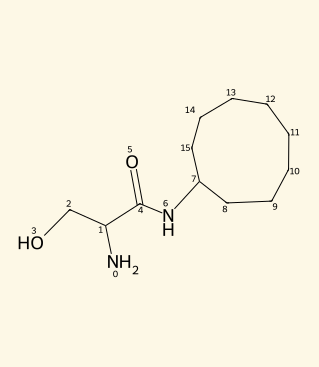 NC(CO)C(=O)NC1CCCCCCCC1